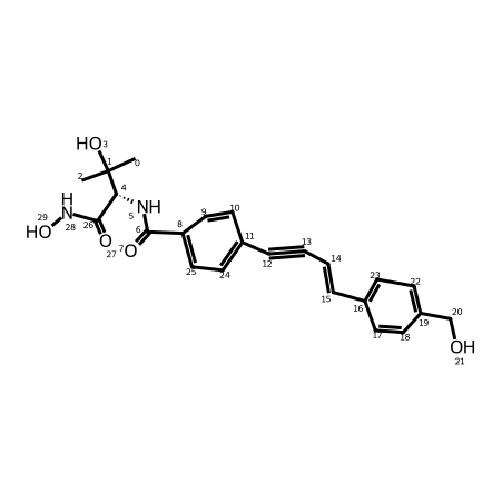 CC(C)(O)[C@H](NC(=O)c1ccc(C#C/C=C/c2ccc(CO)cc2)cc1)C(=O)NO